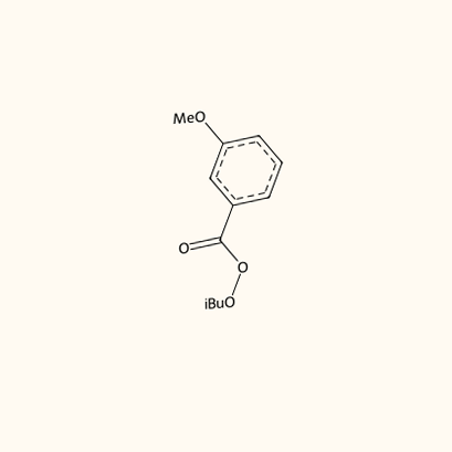 COc1cccc(C(=O)OO[CH]C(C)C)c1